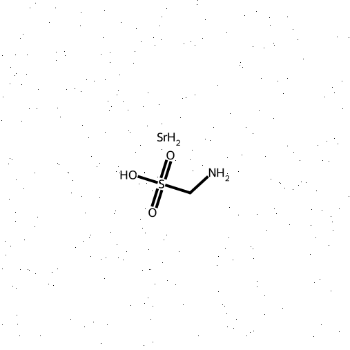 NCS(=O)(=O)O.[SrH2]